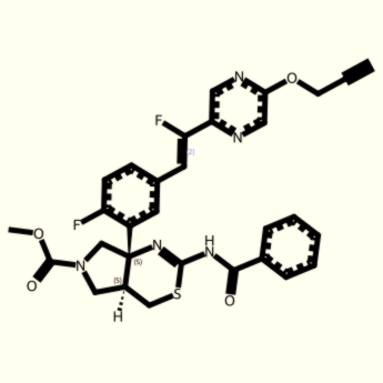 C#CCOc1cnc(/C(F)=C/c2ccc(F)c([C@]34CN(C(=O)OC)C[C@@H]3CSC(NC(=O)c3ccccc3)=N4)c2)cn1